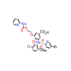 COc1ccc(Cl)c(Oc2c(NS(=O)(=O)c3ccc(C(C)C)cn3)cc(C(=O)O)cc2OCCOC(=O)Nc2ccccn2)c1